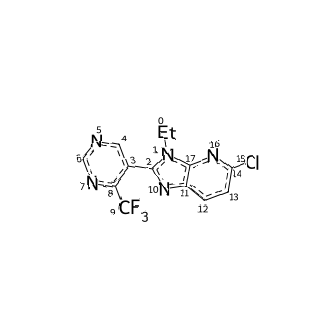 CCn1c(-c2cncnc2C(F)(F)F)nc2ccc(Cl)nc21